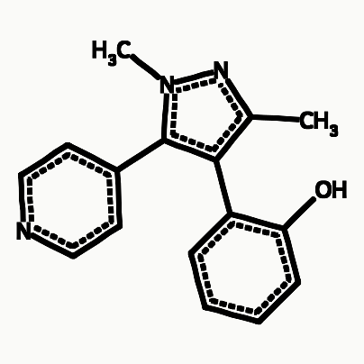 Cc1nn(C)c(-c2ccncc2)c1-c1ccccc1O